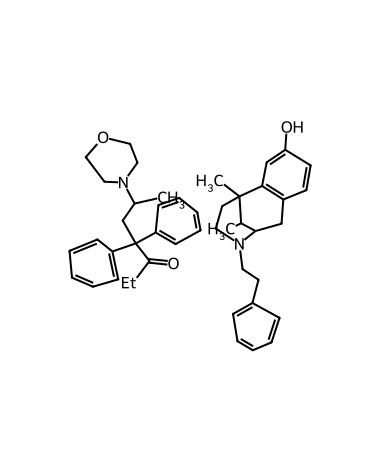 CC1C2Cc3ccc(O)cc3C1(C)CCN2CCc1ccccc1.CCC(=O)C(CC(C)N1CCOCC1)(c1ccccc1)c1ccccc1